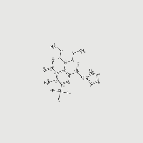 CCCN(CCC)c1c([N+](=O)[O-])cc(C(F)(F)F)c(N)c1[N+](=O)[O-].[c]1cc[nH]n1